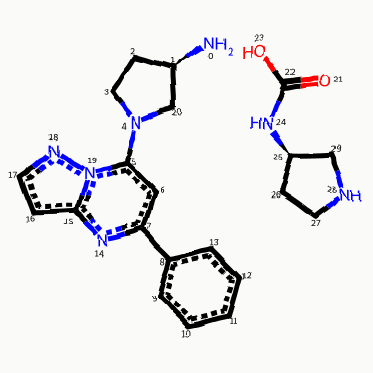 N[C@@H]1CCN(c2cc(-c3ccccc3)nc3ccnn23)C1.O=C(O)N[C@@H]1CCNC1